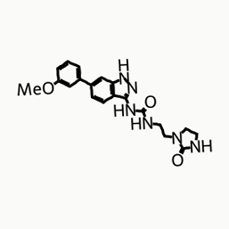 COc1cccc(-c2ccc3c(NC(=O)NCCN4CCNC4=O)n[nH]c3c2)c1